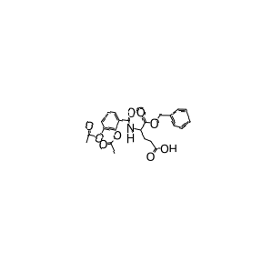 CC(=O)Oc1cccc(C(=O)NC(CCC(=O)O)C(=O)OCc2ccccc2)c1OC(C)=O